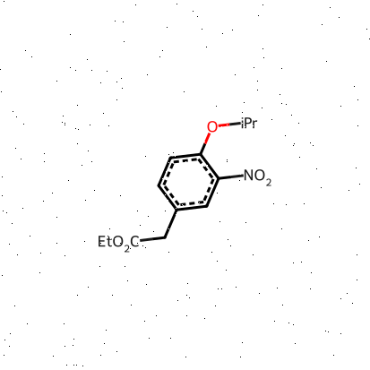 CCOC(=O)Cc1ccc(OC(C)C)c([N+](=O)[O-])c1